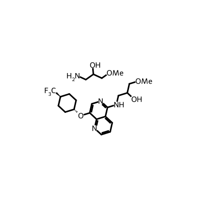 COCC(O)CN.COCC(O)CNc1ncc(O[C@H]2CC[C@H](C(F)(F)F)CC2)c2ncccc12